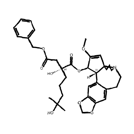 COC1=CC23CCCN2CCc2cc4c(cc2[C@@H]3C1OC(=O)[C@@](O)(CCCC(C)(C)O)CC(=O)OCc1ccccc1)OCO4